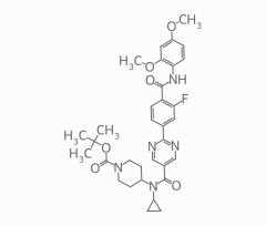 COc1ccc(NC(=O)c2ccc(-c3ncc(C(=O)N(C4CC4)C4CCN(C(=O)OC(C)(C)C)CC4)cn3)cc2F)c(OC)c1